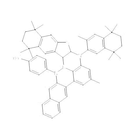 Cc1cc2c3c(c1)N(c1cc4c(cc1C)C(C)(C)CCC4(C)C)C1Sc4cc5c(cc4C1B3N(c1ccc(C(C)(C)C)cc1)c1cc3ccccc3cc1-2)C(C)(C)CCC5(C)C